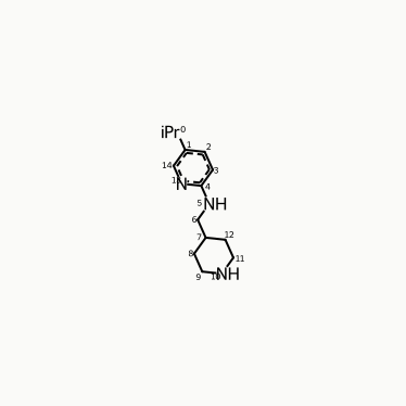 CC(C)c1ccc(NCC2CCNCC2)nc1